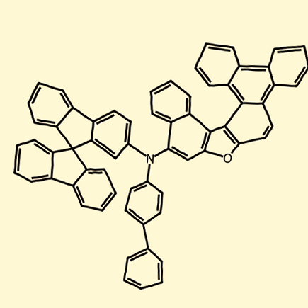 c1ccc(-c2ccc(N(c3ccc4c(c3)C3(c5ccccc5-c5ccccc53)c3ccccc3-4)c3cc4oc5ccc6c7ccccc7c7ccccc7c6c5c4c4ccccc34)cc2)cc1